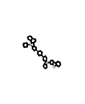 c1ccc(-n2c3ccc(-c4ccc(-c5ccc6c(c5)c5ccccc5n6-c5ccc6c(c5)oc5ccccc56)cc4)cc3c3ccc4ccccc4c32)cc1